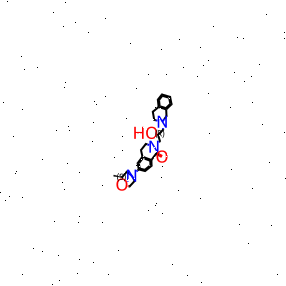 C[C@H]1CN(c2ccc3c(c2)CCN(C[C@H](O)CN2CCc4ccccc4C2)C3=O)CCO1